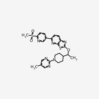 Cc1cnc(N2CCC(C(C)Oc3nc4ccc(-c5ccc(S(C)(=O)=O)nc5)nc4s3)CC2)nc1